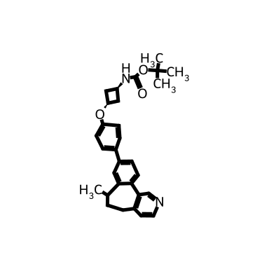 CC1CCc2ccncc2-c2ccc(-c3ccc(O[C@H]4C[C@H](NC(=O)OC(C)(C)C)C4)cc3)cc21